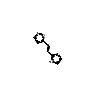 C(=Cc1ccns1)c1ncc[nH]1